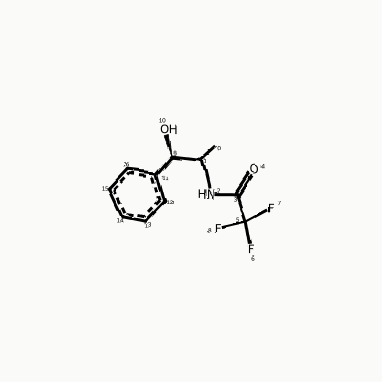 CC(NC(=O)C(F)(F)F)[C@H](O)c1ccccc1